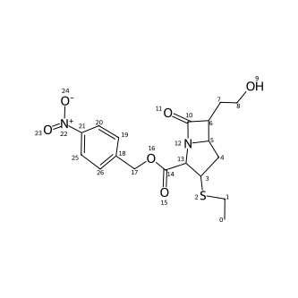 CCSC1CC2C(CCO)C(=O)N2C1C(=O)OCc1ccc([N+](=O)[O-])cc1